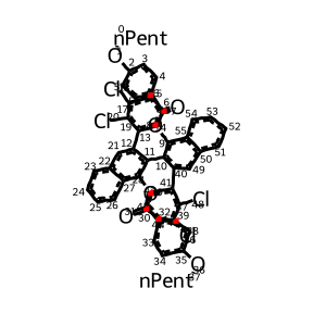 CCCCCOc1ccc(C(=O)Oc2c(-c3c(-c4cccc(Cl)c4Cl)cc4ccccc4c3OC(=O)c3ccc(OCCCCC)cc3)c(-c3cccc(Cl)c3Cl)cc3ccccc23)cc1